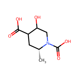 C[C@@H]1CC(C(=O)O)C(O)CN1C(=O)O